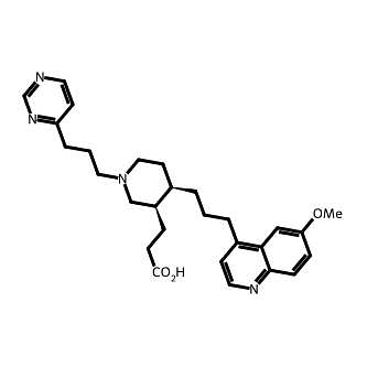 COc1ccc2nccc(CCC[C@@H]3CCN(CCCc4ccncn4)C[C@@H]3CCC(=O)O)c2c1